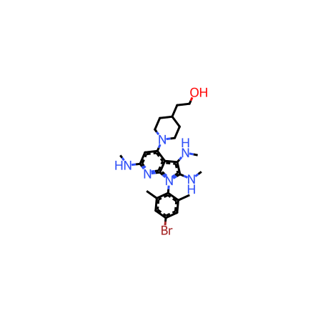 CNc1cc(N2CCC(CCO)CC2)c2c(NC)c(NC)n(-c3c(C)cc(Br)cc3C)c2n1